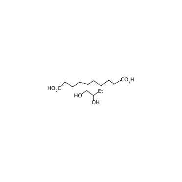 CCC(O)CO.O=C(O)CCCCCCCCC(=O)O